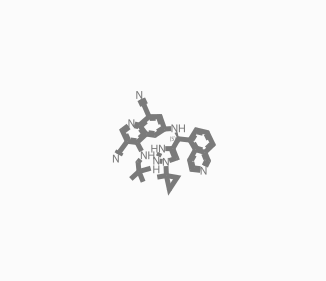 CC(C)(C)CNc1c(C#N)cnc2c(C#N)cc(N[C@H](C3=CN(C4(C)CC4)NN3)c3cccc4cnccc34)cc12